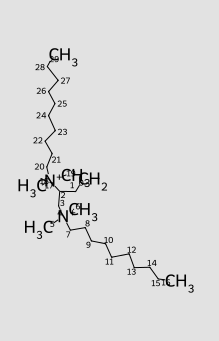 [CH2]CC(C[N+](C)(C)CCCCCCCCCC)[N+](C)(C)CCCCCCCCCC